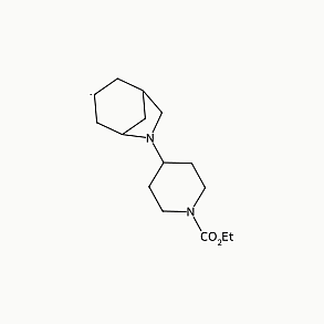 CCOC(=O)N1CCC(N2CC3C[CH]CC2C3)CC1